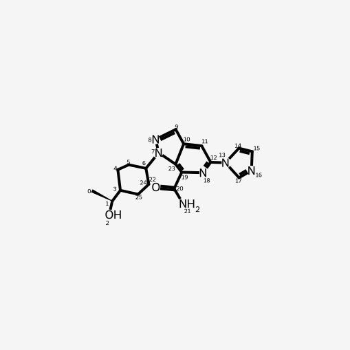 C[C@H](O)C1CCC(n2ncc3cc(-n4ccnc4)nc(C(N)=O)c32)CC1